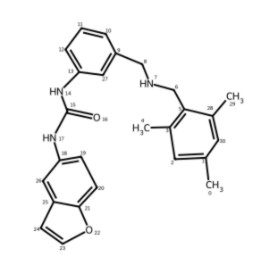 Cc1cc(C)c(CNCc2cccc(NC(=O)Nc3ccc4occc4c3)c2)c(C)c1